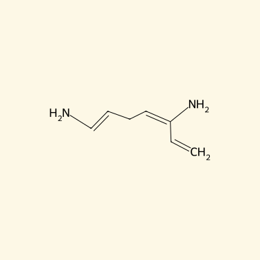 C=C/C(N)=C\C/C=C/N